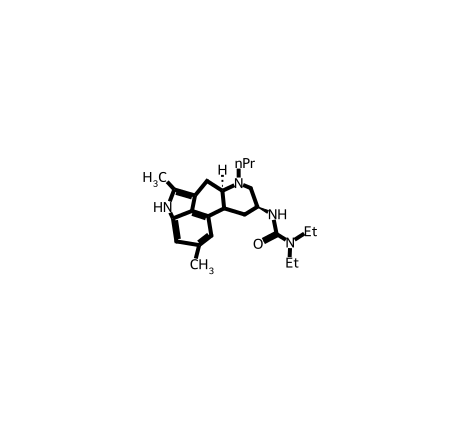 CCCN1C[C@@H](NC(=O)N(CC)CC)CC2c3cc(C)cc4[nH]c(C)c(c34)C[C@H]21